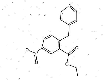 CCOC(=O)c1cc([N+](=O)[O-])ccc1Cc1ccncc1